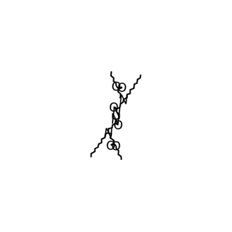 CCCCCCCCCCN(CCCC(=O)OCCCCC)CCCC(=O)N1CCN(C(=O)CCCN(CCCCCCCCCC)CCCC(=O)OCCCCC)CC1